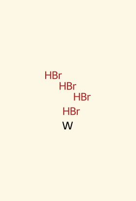 Br.Br.Br.Br.[W]